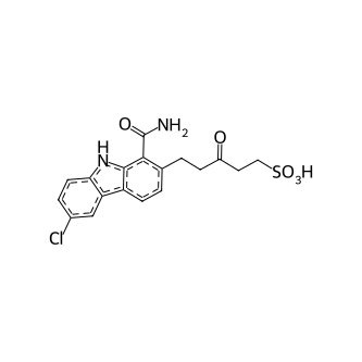 NC(=O)c1c(CCC(=O)CCS(=O)(=O)O)ccc2c1[nH]c1ccc(Cl)cc12